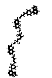 CC(CCC(=O)OCOc1ccc2ccc(OCCCCN3CCN(c4cccc5sccc45)CC3)cc2n1)C(=O)OCOc1ccc2ccc(OCCCCN3CCN(c4cccc5sccc45)CC3)cc2n1